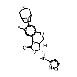 O=C1O[C@@H](CNc2ccon2)[C@@H]2COc3cc(N4C5CCC4CSC5)c(F)cc3N12